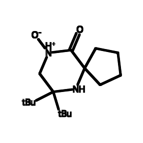 CC(C)(C)C1(C(C)(C)C)C[NH+]([O-])C(=O)C2(CCCC2)N1